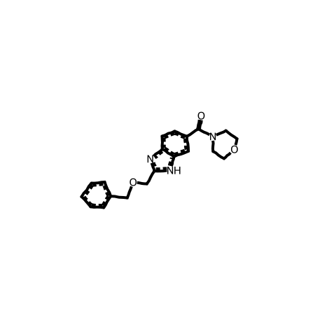 O=C(c1ccc2nc(COCc3ccccc3)[nH]c2c1)N1CCOCC1